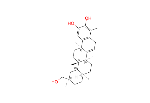 Cc1c(O)c(O)cc2c1CC=C1[C@@]2(C)CC[C@@]2(C)[C@@H]3C[C@](C)(CO)CC[C@]3(C)CC[C@]12C